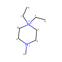 CC[N+]1(CC)CCN(C)CC1